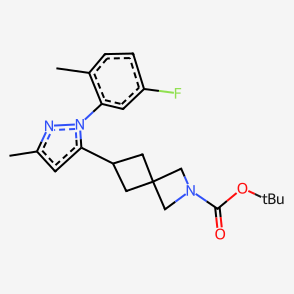 Cc1cc(C2CC3(C2)CN(C(=O)OC(C)(C)C)C3)n(-c2cc(F)ccc2C)n1